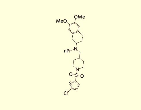 CCCN(CC1CCN(S(=O)(=O)c2ccc(Cl)s2)CC1)C1CCc2cc(OC)c(OC)cc2C1